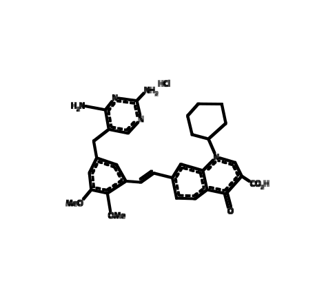 COc1cc(Cc2cnc(N)nc2N)cc(/C=C/c2ccc3c(=O)c(C(=O)O)cn(C4CCCCC4)c3c2)c1OC.Cl